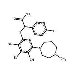 CCc1c(C#N)c(SC(C(N)=O)c2ccc(F)nc2)nc(N2CCCN(C)CC2)c1C#N